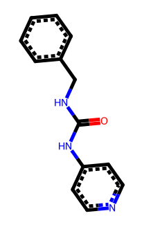 O=C(NCc1ccccc1)Nc1ccncc1